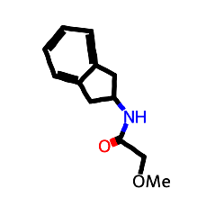 COCC(=O)NC1Cc2ccccc2C1